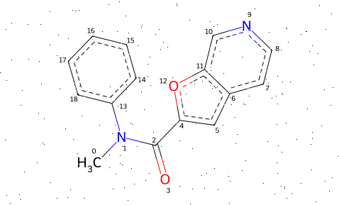 CN(C(=O)c1cc2ccncc2o1)c1ccccc1